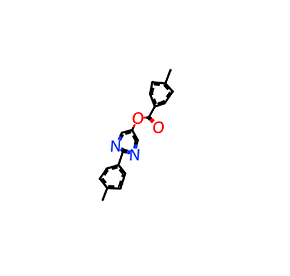 Cc1ccc(C(=O)Oc2cnc(-c3ccc(C)cc3)nc2)cc1